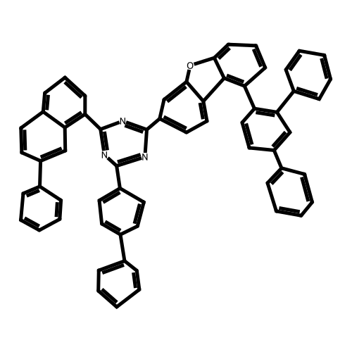 c1ccc(-c2ccc(-c3nc(-c4ccc5c(c4)oc4cccc(-c6ccc(-c7ccccc7)cc6-c6ccccc6)c45)nc(-c4cccc5ccc(-c6ccccc6)cc45)n3)cc2)cc1